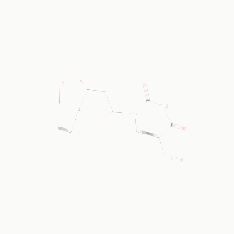 C=C[C@]1(CO)OC(n2cc(OC)c(=O)[nH]c2=O)C[C@@H]1O